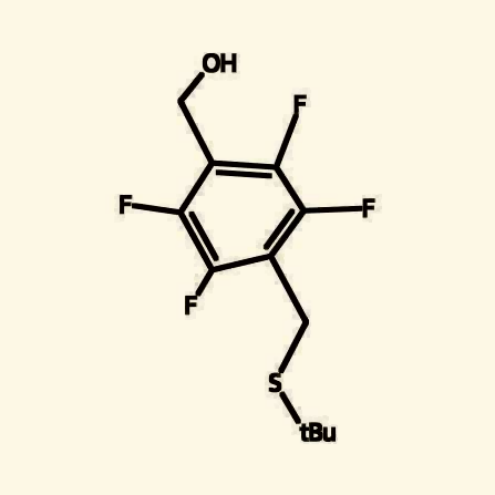 CC(C)(C)SCc1c(F)c(F)c(CO)c(F)c1F